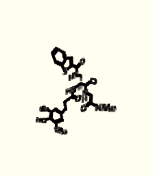 CNC(=O)CNC(=O)[C@@H](CNC(=O)c1cc2ccccc2s1)NC(=O)CCc1cc(C(C)(C)C)c(O)c(C(C)(C)C)c1